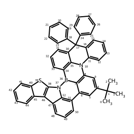 CC(C)(C)c1cc2c3c(c1)N1c4ccccc4C(c4ccccc4)(c4ccccc4)c4cccc(c41)B3n1c3sc4ccccc4c3c3cccc-2c31